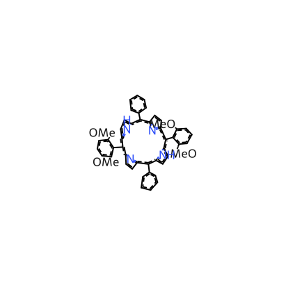 COc1cccc(OC)c1-c1c2nc(c(-c3ccccc3)c3ccc([nH]3)c(-c3c(OC)cccc3OC)c3nc(c(-c4ccccc4)c4ccc1[nH]4)C=C3)C=C2